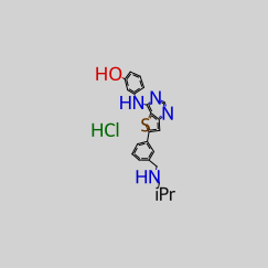 CC(C)CNCc1cccc(-c2cc3ncnc(Nc4cccc(O)c4)c3s2)c1.Cl